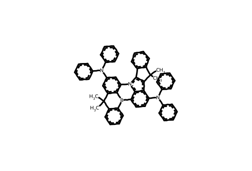 CC1(C)c2ccccc2B2c3c(cc(N(c4ccccc4)c4ccccc4)cc31)-n1c3c(c4c(N(c5ccccc5)c5ccccc5)ccc2c41)C(C)(C)c1ccccc1-3